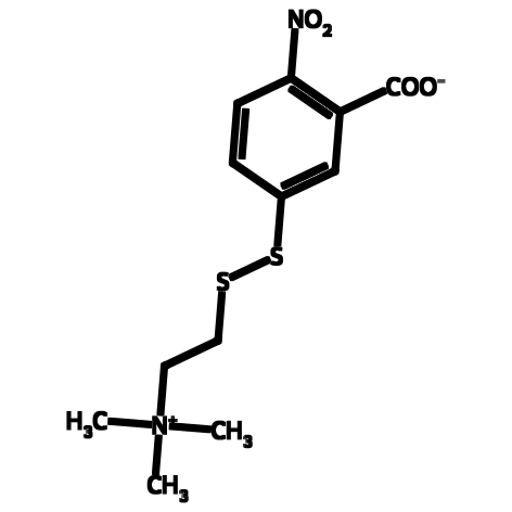 C[N+](C)(C)CCSSc1ccc([N+](=O)[O-])c(C(=O)[O-])c1